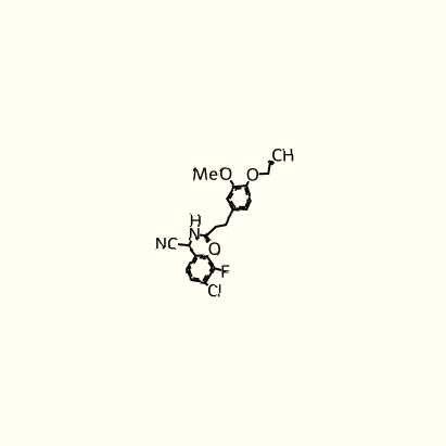 C#CCOc1ccc(CCC(=O)NC(C#N)c2ccc(Cl)c(F)c2)cc1OC